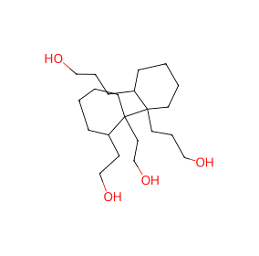 OCCCC1CCCCC1(CCCO)C1(CCO)CCCCC1CCO